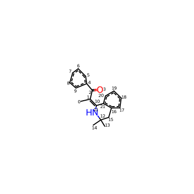 CC(C(=O)c1ccccc1)=C1NC(C)(C)Cc2ccccc21